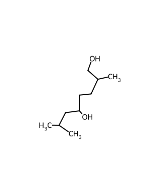 CC(C)CC(O)CCC(C)CO